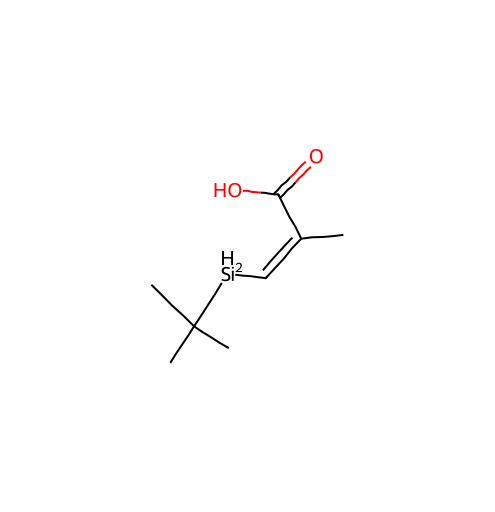 CC(=C[SiH2]C(C)(C)C)C(=O)O